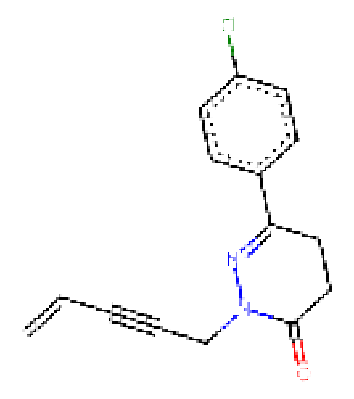 C=CC#CCN1N=C(c2ccc(Cl)cc2)CCC1=O